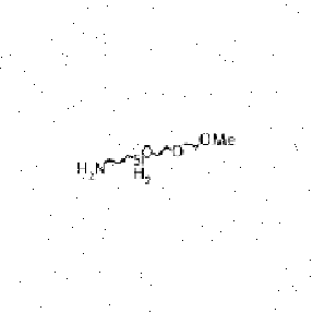 COCCOCCO[SiH2]CCCN